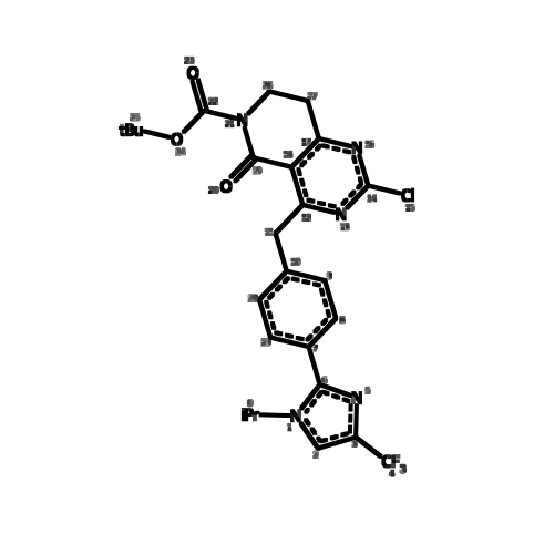 CC(C)n1cc(C(F)(F)F)nc1-c1ccc(Cc2nc(Cl)nc3c2C(=O)N(C(=O)OC(C)(C)C)CC3)cc1